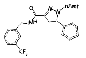 CCCCCN1N=C(C(=O)NCc2cccc(C(F)(F)F)c2)CC1c1ccccc1